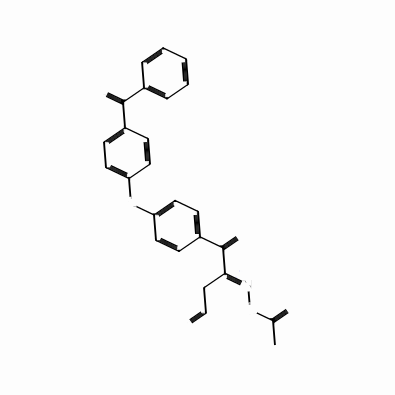 CC(=O)O/N=C(\CC=O)C(=O)c1ccc(Sc2ccc(C(=O)c3ccccc3)cc2)cc1